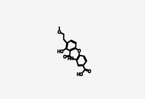 COCCc1ccc2c(c1O)C(=O)Nc1cc(C(=O)O)ccc1O2